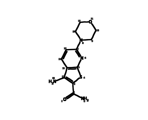 NC(=O)c1sc2nc(N3CCOCC3)ccc2c1N